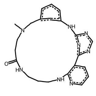 CN1CCC(=O)NCCCNc2ncccc2-c2ncnc(n2)Nc2cccc(c2)C1